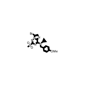 COc1ccc(CN(c2nc(S(C)(=O)=O)nn3c(Br)cnc23)C2CC2)cc1